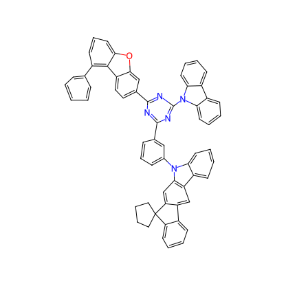 c1ccc(-c2cccc3oc4cc(-c5nc(-c6cccc(-n7c8ccccc8c8cc9c(cc87)C7(CCCC7)c7ccccc7-9)c6)nc(-n6c7ccccc7c7ccccc76)n5)ccc4c23)cc1